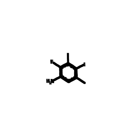 Cc1cc(N)c(F)c(C)c1I